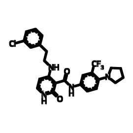 O=C(Nc1ccc(N2CCCC2)c(C(F)(F)F)c1)c1c(NCCc2cccc(Cl)c2)cc[nH]c1=O